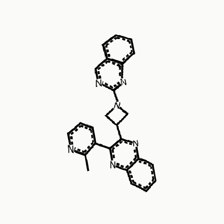 Cc1ncccc1-c1nc2ccccc2nc1C1CN(c2ncc3ccccc3n2)C1